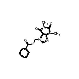 Cn1c(=O)c2c(ncn2CSC(=O)c2ccccc2)n(C)c1=O